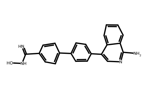 N=C(NO)c1ccc(-c2ccc(-c3cnc(N)c4ccccc34)cc2)cc1